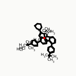 CCC1=Cc2c(-c3ccc(C(C)(C)C)cc3)cccc2[CH]1[Zr]([CH3])([CH3])(=[SiH2])[CH]1C(C2CCCCC2)=Cc2c(-c3ccc(C(C)(C)C)cc3)cccc21.Cl.Cl